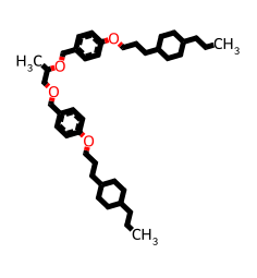 CCCC1CCC(CCCOc2ccc(COCC(C)OCc3ccc(OCCCC4CCC(CCC)CC4)cc3)cc2)CC1